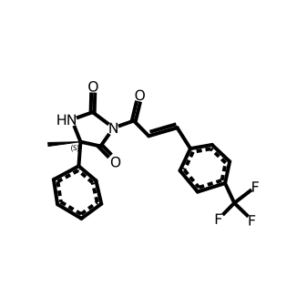 C[C@@]1(c2ccccc2)NC(=O)N(C(=O)C=Cc2ccc(C(F)(F)F)cc2)C1=O